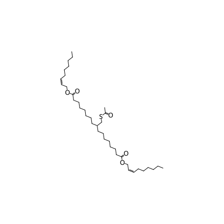 CCCCCC/C=C\COC(=O)CCCCCCCC(CCCCCCCC(=O)OC/C=C\CCCCCC)CSC(C)=O